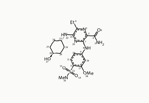 CCc1nc(C(N)=O)c(Nc2ccc(S(=O)(=O)NC)c(OC)c2)nc1N[C@H]1CC[C@H](O)CC1